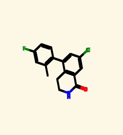 Cc1cc(F)ccc1-c1cc(Cl)cc2c1CCNC2=O